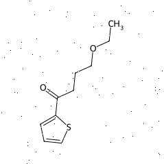 CCOC[CH]CC(=O)c1cccs1